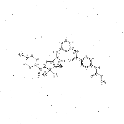 C=CC(=O)Nc1ccc(C(=O)Nc2cccc(NC3NNC4=C3CN(C(=O)N3CCN(C)CC3)C4(C)C)c2)cc1